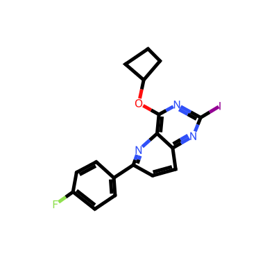 Fc1ccc(-c2ccc3nc(I)nc(OC4CCC4)c3n2)cc1